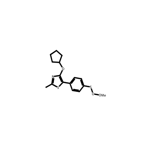 COOSc1ccc(-c2sc(C)nc2OC2CCCC2)cc1